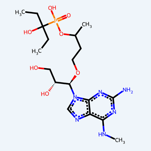 CCC(O)(CC)P(=O)(O)OC(C)CCO[C@H]([C@H](O)CO)n1cnc2c(NC)nc(N)nc21